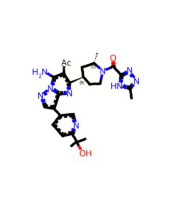 CC(=O)c1c([C@@H]2CCN(C(=O)c3nnc(C)[nH]3)[C@@H](C)C2)nc2c(-c3ccc(C(C)(C)O)nc3)cnn2c1N